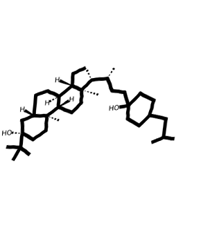 CC(C)CC1CCC(O)(CC[C@@H](C)[C@H]2CC[C@H]3[C@@H]4CC[C@H]5C[C@](O)(C(C)(C)C)CC[C@]5(C)[C@H]4CC[C@]23C)CC1